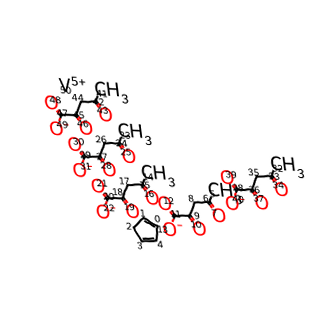 C1=CCC=C1.CC(=O)CC(=O)C(=O)[O-].CC(=O)CC(=O)C(=O)[O-].CC(=O)CC(=O)C(=O)[O-].CC(=O)CC(=O)C(=O)[O-].CC(=O)CC(=O)C(=O)[O-].[V+5]